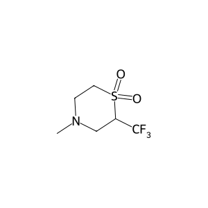 CN1CCS(=O)(=O)C(C(F)(F)F)C1